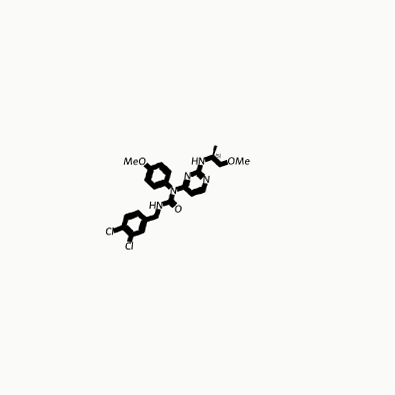 COC[C@H](C)Nc1nccc(N(C(=O)NCc2ccc(Cl)c(Cl)c2)c2ccc(OC)cc2)n1